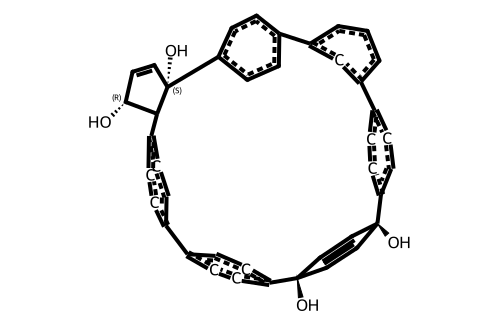 O[C@@H]1C=C[C@@]2(O)c3ccc(cc3)-c3cccc(c3)-c3ccc(cc3)[C@]3(O)C=C[C@@](O)(C=C3)c3ccc(cc3)-c3ccc(cc3)C12